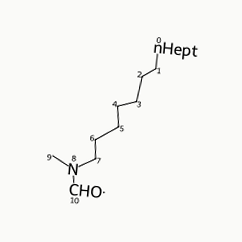 CCCCCCCCCCCCCCN(C)[C]=O